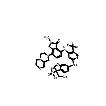 CCC(CC)(c1ccc(Nc2ncc(C(F)(F)F)c(Nc3ccc(N4CCN5CCOCC5C4)c4c3C(=O)N(C)C4)n2)cc1)P(=O)(O)O